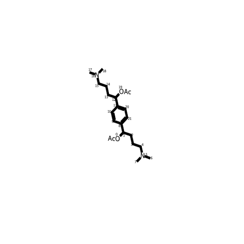 CC(=O)OC(CCCN(C)C)c1ccc(C(CCCN(C)C)OC(C)=O)cc1